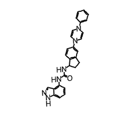 O=C(Nc1cccc2[nH]ncc12)NC1CCc2cc(N3C=CN(c4ccccc4)C=C3)ccc21